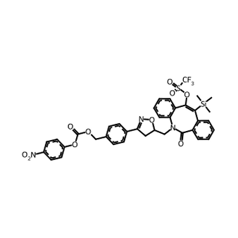 C[Si](C)(C)C1=C(OS(=O)(=O)C(F)(F)F)c2ccccc2N(CC2CC(c3ccc(COC(=O)Oc4ccc([N+](=O)[O-])cc4)cc3)=NO2)C(=O)c2ccccc21